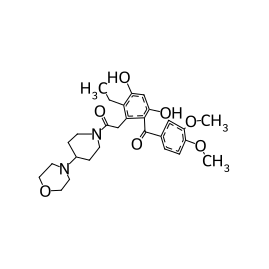 CCc1c(O)cc(O)c(C(=O)c2ccc(OC)c(OC)c2)c1CC(=O)N1CCC(N2CCOCC2)CC1